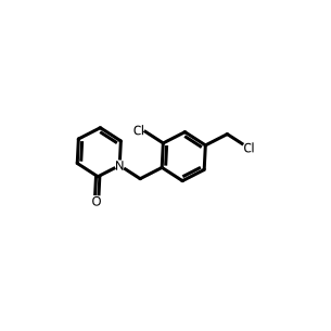 O=c1ccccn1Cc1ccc(CCl)cc1Cl